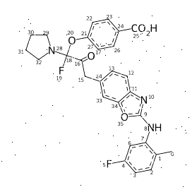 Cc1ccc(F)cc1Nc1nc2ccc(CC(=O)C(F)(Oc3ccc(C(=O)O)cc3)N3CCCC3)cc2o1